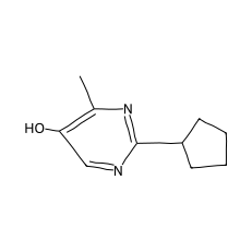 Cc1nc(C2CCCC2)ncc1O